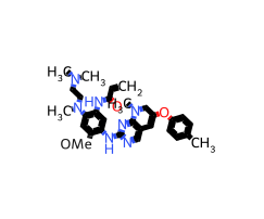 C=CC(=O)Nc1cc(Nc2ncc3c(n2)N(C)CC(Oc2ccc(C)cc2)=C3)c(OC)cc1N(C)CCN(C)C